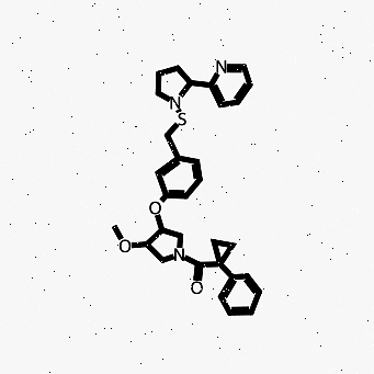 COC1CN(C(=O)C2(c3ccccc3)CC2)CC1Oc1cccc(CSN2CCCC2c2ccccn2)c1